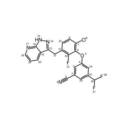 N#Cc1cc(Oc2c(Cl)ccc(Cc3n[nH]c4ncccc34)c2F)cc(C(F)F)c1